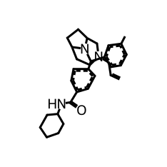 C=CCN1CCC2CCC(C1)N2C(c1ccc(C(=O)NC2CCCCC2)cc1)c1cccc(C)c1